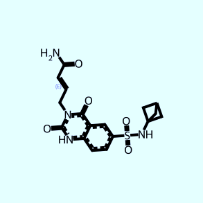 NC(=O)/C=C/Cn1c(=O)[nH]c2ccc(S(=O)(=O)NC34CC(C3)C4)cc2c1=O